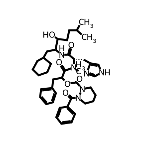 CC(C)CCC(O)C(CC1CCCCC1)NC(=O)[C@H](Cc1c[nH]cn1)N(C)C(=O)C(Cc1ccccc1)OC(=O)N1CCCCN1C(=O)c1ccccc1